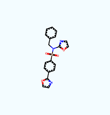 O=S(=O)(c1ccc(-c2ncco2)cc1)N(Cc1ccccc1)c1ncco1